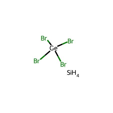 [Br][Ge]([Br])([Br])[Br].[SiH4]